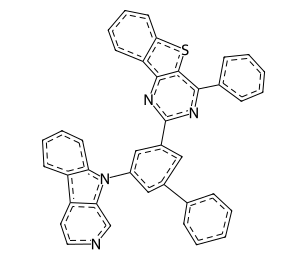 c1ccc(-c2cc(-c3nc(-c4ccccc4)c4sc5ccccc5c4n3)cc(-n3c4ccccc4c4ccncc43)c2)cc1